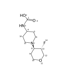 O=C(O)NC1CCN([C@@H]2CCOC[C@H]2F)CC1